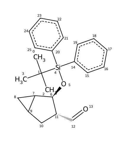 CC(C)(C)[Si](O[C@@H]1C2CC2C[C@H]1C=O)(c1ccccc1)c1ccccc1